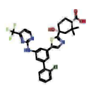 CC1(C)C[C@@](O)(c2ncc(-c3cc(Nc4nccc(C(F)(F)F)n4)cc(-c4ccccc4Cl)c3)s2)CC[C@@H]1C(=O)O